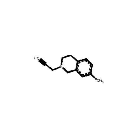 C#CCN1CCc2ccc(C)cc2C1